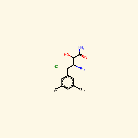 Cc1cc(C)cc(CC(N)C(O)C(N)=O)c1.Cl